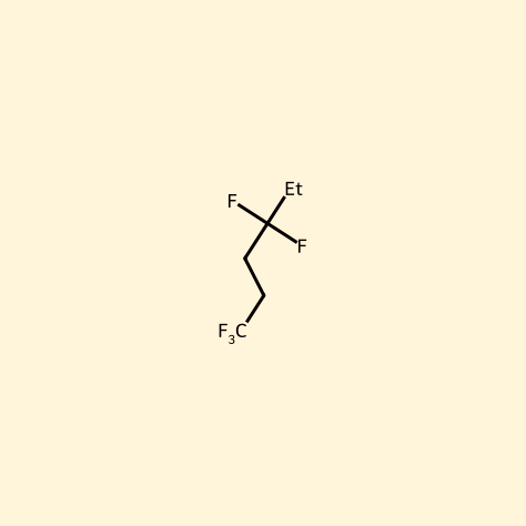 CCC(F)(F)CCC(F)(F)F